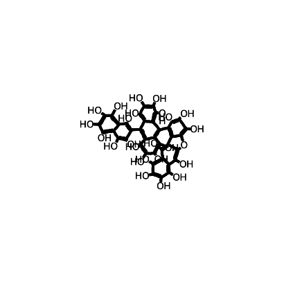 Oc1c(O)c(-c2c3c(O)c(O)c(O)c(O)c3c(-c3c(O)c(O)c4c(O)c(O)c(O)c(O)c4c3O)c3c(O)c(O)c(O)c(O)c23)c2c(oc3c(O)c4c(O)c(O)c(O)c(O)c4c(O)c32)c1O